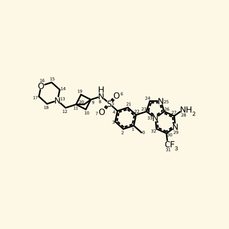 Cc1ccc(S(=O)(=O)NC23CC(CN4CCOCC4)(C2)C3)cc1-c1cnc2c(N)nc(C(F)(F)F)cn12